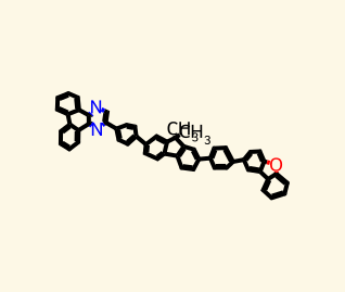 CC1(C)c2cc(-c3ccc(-c4ccc5oc6ccccc6c5c4)cc3)ccc2-c2ccc(-c3ccc(-c4cnc5c6ccccc6c6ccccc6c5n4)cc3)cc21